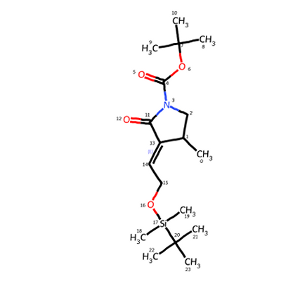 CC1CN(C(=O)OC(C)(C)C)C(=O)/C1=C/CO[Si](C)(C)C(C)(C)C